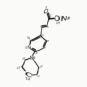 COC(=O)C=Cc1ccc(N2CCOCC2)nc1